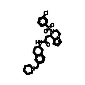 O=C(CC1c2cccn2CCN1S(=O)(=O)c1cccc(Cl)c1)NC1CCc2cc(CN3CCCCC3)ccc2C1